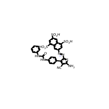 N#Cc1c(N)sc(/N=N/c2cc(S(=O)(=O)O)c3cc(S(=O)(=O)O)cc(S(=O)(=O)O)c3c2)c1-c1ccc(NC(=O)Nc2ccccc2)cc1